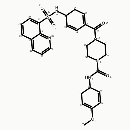 COC1=CCC(NC(=O)N2CCN(C(=O)C3=CCC(NS(=O)(=O)c4cccc5cccnc45)C=C3)CC2)C=C1